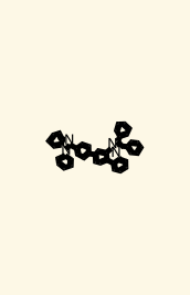 c1ccc(-c2nc3c4cc(-c5ccc(-c6nc7ccccc7n6-c6ccccc6)cc5)ccc4c4ccccc4n3c2-c2ccccc2)cc1